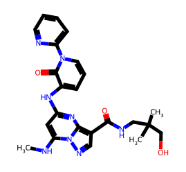 CNc1cc(Nc2cccn(-c3ccccn3)c2=O)nc2c(C(=O)NCC(C)(C)CO)cnn12